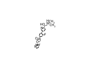 CC(C)NCC(O)c1ccc(-c2ccc(N3C[C@H](Cn4ccnn4)OC3=O)cc2F)cn1